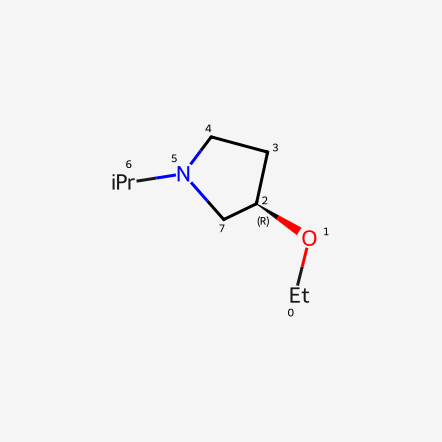 CCO[C@@H]1CCN(C(C)C)C1